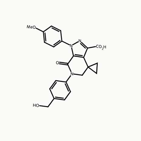 COc1ccc(-n2nc(C(=O)O)c3c2C(=O)N(c2ccc(CO)cc2)CC32CC2)cc1